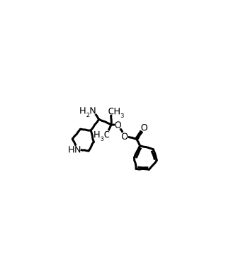 CC(C)(OOC(=O)c1ccccc1)C(N)C1CCNCC1